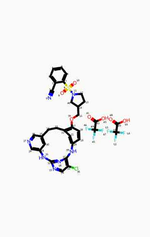 N#Cc1ccccc1S(=O)(=O)N1CCC(COc2ccc3cc2CCc2cncc(c2)Nc2ncc(Cl)c(n2)N3)C1.O=C(O)C(F)(F)F.O=C(O)C(F)(F)F